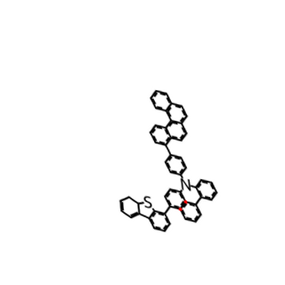 C1=CCC2Sc3c(cccc3-c3ccc(N(c4ccc(-c5cccc6c5ccc5ccc7ccccc7c56)cc4)c4ccccc4-c4ccccc4)cc3)C2=C1